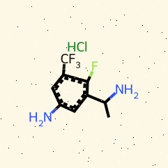 CC(N)c1cc(N)cc(C(F)(F)F)c1F.Cl